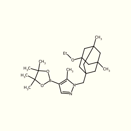 [CH2]COC12CC3(C)CC(C)(CC(Cn4ncc(B5OC(C)(C)C(C)(C)O5)c4C)(C3)C1)C2